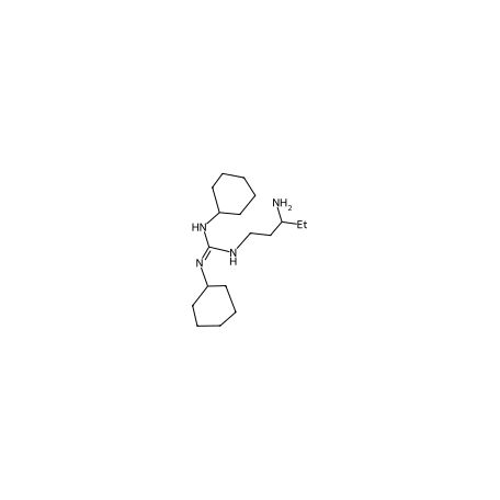 CCC(N)CCN/C(=N\C1CCCCC1)NC1CCCCC1